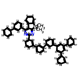 C[Si]1(C)c2ccccc2-c2c(-c3cccc(-c4ccccc4)c3)nc(-c3cccc(-c4cccc(-c5cccc(-c6cc(-c7ccccc7)cc(-c7ccccc7)c6)c5)c4)c3)nc21